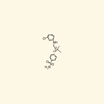 CC1(C)[C@H](CNc2cccc(Cl)c2)[C@H]1c1ccc(S(N)(=O)=O)cc1